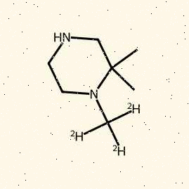 [2H]C([2H])([2H])N1CCNCC1(C)C